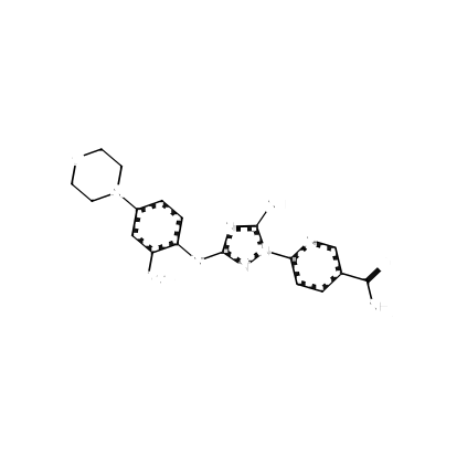 COc1cc(N2CCOCC2)ccc1Nc1nc(N)n(-c2ccc(C(N)=O)cn2)n1